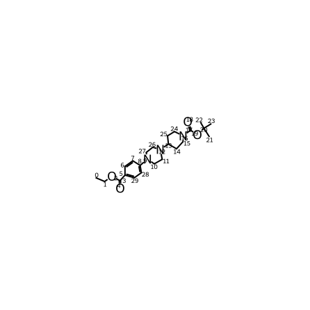 CCOC(=O)c1ccc(N2CCN(C3CCN(C(=O)OC(C)(C)C)CC3)CC2)cc1